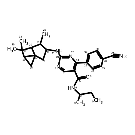 CCC(C)NC(=O)c1cnc(NC2CC34CC3C(C)(C)C4C2C)nc1-c1ccc(C#N)cc1